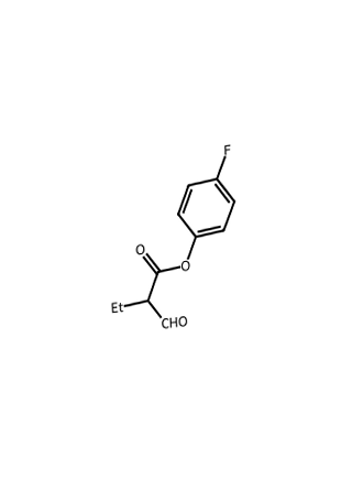 CCC(C=O)C(=O)Oc1ccc(F)cc1